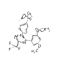 COc1cc(OC)cc(-c2nc(C(F)(F)F)nn2-c2ccc(S(C)(=O)=O)cn2)c1